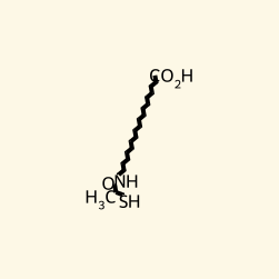 CC(CS)C(=O)NCCCCCCCCCCCCCCCCCCC(=O)O